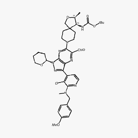 COc1ccc(CN(C)c2nccc(-c3nn(C4CCCCO4)c4nc(N5CCC6(CC5)CO[C@@H](C)[C@H]6NC(=O)OC(C)(C)C)c(C=O)nc34)c2Cl)cc1